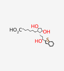 O=C(O)CCCCCC[C@@H]1[C@@H](CCC(O)c2cc3ccccc3s2)[C@H](O)C[C@@H]1O